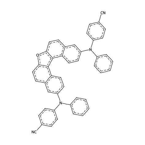 N#Cc1ccc(N(c2ccccc2)c2ccc3c(ccc4oc5ccc6cc(N(c7ccccc7)c7ccc(C#N)cc7)ccc6c5c43)c2)cc1